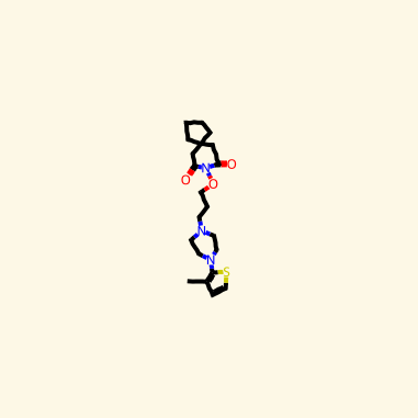 Cc1ccsc1N1CCN(CCCON2C(=O)CC3(CCCC3)CC2=O)CC1